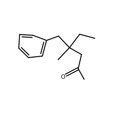 CCC(C)(CC(C)=O)Cc1ccccc1